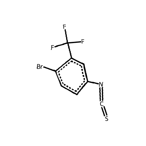 FC(F)(F)c1cc(N=C=S)ccc1Br